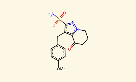 COc1ccc(Cc2c(S(N)(=O)=O)nn3c2C(=O)CCC3)cc1